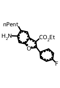 CCCCCc1cc2c(C(=O)OCC)c(-c3ccc(F)cc3)oc2cc1N